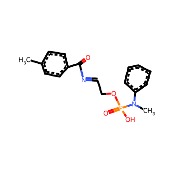 Cc1ccc(C(=O)/N=C/COP(=O)(O)N(C)c2ccccc2)cc1